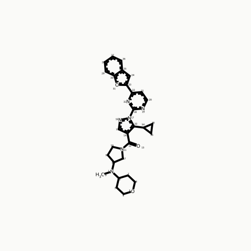 CN(C1CCOCC1)C1CCN(C(=O)c2cnn(-c3nccc(-c4cc5ccccc5o4)n3)c2C2CC2)C1